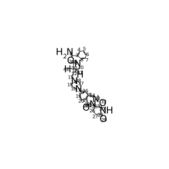 NC(=O)c1ccccc1N1C[C@@H]2C(CN3CCN(c4ccc5c(=O)n(C6CCC(=O)NC6=O)ncc5c4)CC3)[C@@H]2C1